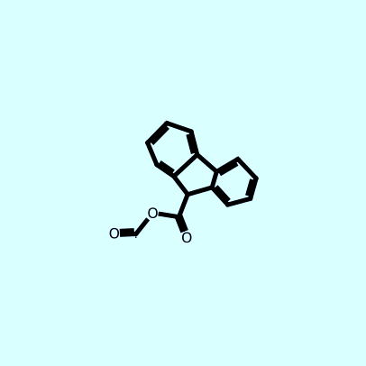 O=[C]OC(=O)C1c2ccccc2-c2ccccc21